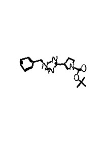 CC(C)(C)OC(=O)N1CCC(c2ncn(Cc3ccccc3)n2)C1